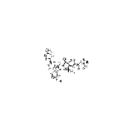 Cc1ccc(N2CCC[C@H](N(Cc3ccnc(C)c3)Cc3cn(C)c4cc(N5CCCC(F)(F)C5)ccc4c3=O)C2)cn1